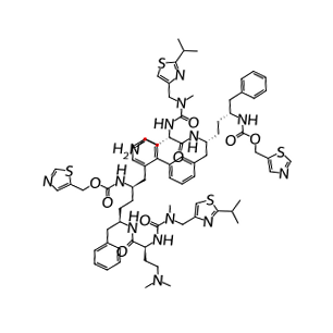 CC(C)c1nc(CN(C)C(=O)N[C@@H](CCN)C(=O)N[C@H](CC[C@H](Cc2ccccc2)NC(=O)OCc2cncs2)Cc2cccc(-c3ccccc3C[C@@H](CC[C@H](Cc3ccccc3)NC(=O)[C@H](CCN(C)C)NC(=O)N(C)Cc3csc(C(C)C)n3)NC(=O)OCc3cncs3)c2)cs1